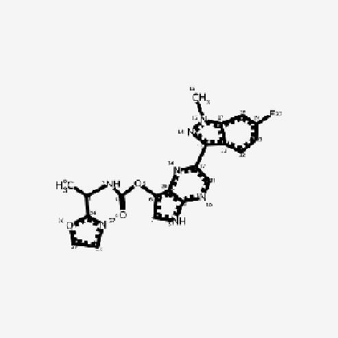 CC(NC(=O)Oc1c[nH]c2ncc(-c3nn(C)c4cc(F)ccc34)nc12)c1ncco1